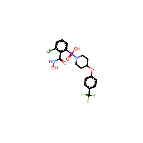 O=C(NO)c1c(Cl)cccc1I(=O)(O)N1CCC(Oc2ccc(C(F)(F)F)cc2)CC1